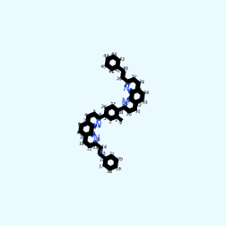 Cc1cc(-c2ccc3ccc4ccc(/C=C/c5ccccc5)nc4c3n2)ccc1-c1ccc2ccc3ccc(C=Cc4ccccc4)nc3c2n1